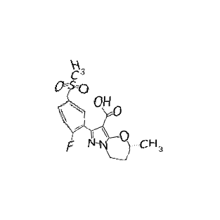 C[C@@H]1CCn2nc(-c3cc(S(C)(=O)=O)ccc3F)c(C(=O)O)c2O1